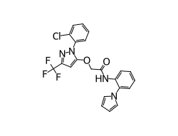 O=C(COc1cc(C(F)(F)F)nn1-c1ccccc1Cl)Nc1ccccc1-n1cccc1